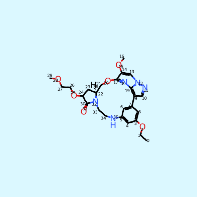 CCOc1cc2cc(c1)-c1cnn3cc(OC)c(nc13)OC[C@@H]1CC(OCCOC)C(=O)N1CCN2